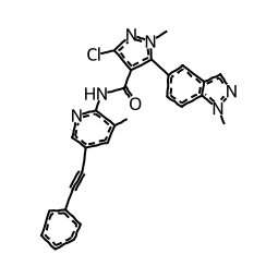 Cc1cc(C#Cc2ccccc2)cnc1NC(=O)c1c(Cl)nn(C)c1-c1ccc2c(cnn2C)c1